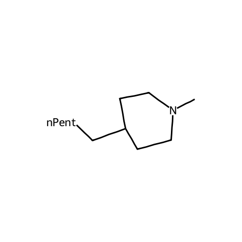 CCCCCCC1CCN(C)CC1